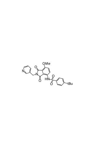 COc1ccc(NS(=O)(=O)c2ccc(C(C)(C)C)cc2)c2c1C(=O)N(Cc1cccnc1)C2=O